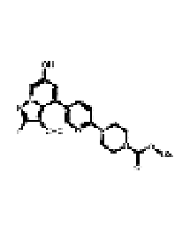 CC(C)(C)OC(=O)N1CCN(c2ccc(-c3cc(O)cn4nc(F)c(C=O)c34)cn2)CC1